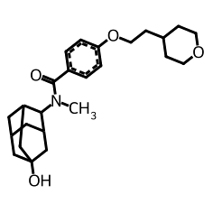 CN(C(=O)c1ccc(OCCC2CCOCC2)cc1)C1C2CC3CC1CC(O)(C3)C2